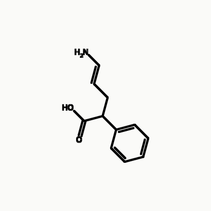 NC=CCC(C(=O)O)c1ccccc1